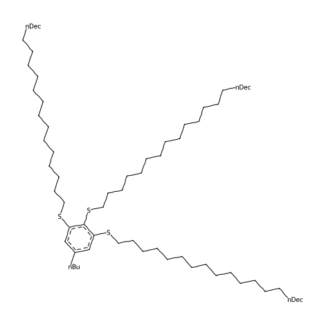 [CH2]CCCc1cc(SCCCCCCCCCCCCCCCCCCCCCCCC)c(SCCCCCCCCCCCCCCCCCCCCCCCC)c(SCCCCCCCCCCCCCCCCCCCCCCCC)c1